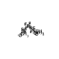 C[O+].C[O+].C[O+].F[B-](F)(F)F.F[B-](F)(F)F.F[B-](F)(F)F